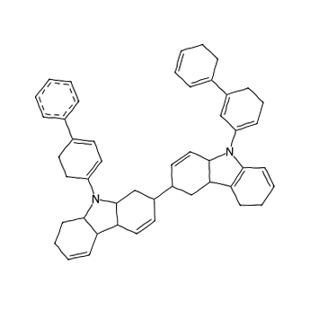 C1=CCCC(C2=CC(N3C4=C(CCC=C4)C4CC(C5C=CC6C7C=CCCC7N(C7=CC=C(c8ccccc8)CC7)C6C5)C=CC43)=CCC2)=C1